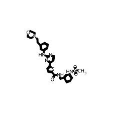 CS(=O)(=O)Nc1cccc(CNC(=O)c2ccc(-c3ccnc(Nc4cccc(CCN5CCOCC5)c4)n3)s2)c1